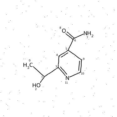 CC(O)c1cc(C(N)=O)ccn1